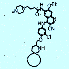 CCOc1cc2ncc(C#N)c(Nc3ccc(OCC4CCC5(CCCCCCCCC5)CN4)c(Cl)c3)c2cc1NC(=O)CCCN1CCN(C)CC1